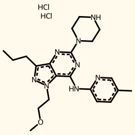 CCCc1nn(CCOC)c2c(Nc3ccc(C)cn3)nc(N3CCNCC3)nc12.Cl.Cl